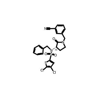 N#Cc1cccc(CN2CC[C@H](N(Cc3ccccc3)S(=O)(=O)c3cc(Cl)c(Cl)s3)C2=O)c1